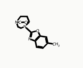 Cc1ccc2nc(N3CCN4CCC3CC4)oc2c1